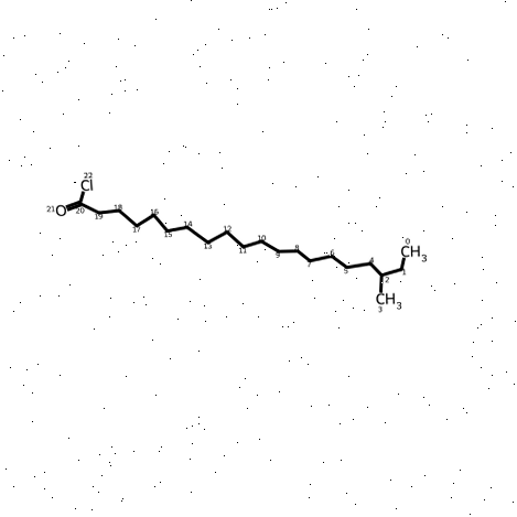 CCC(C)CCCCCCCCCCCCCCCCC(=O)Cl